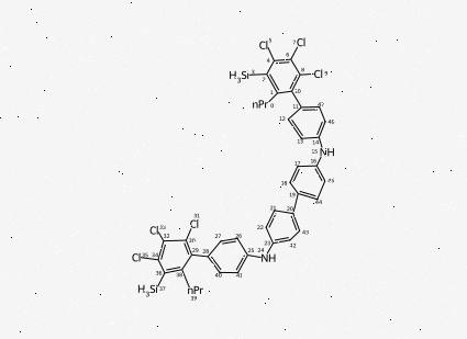 CCCc1c([SiH3])c(Cl)c(Cl)c(Cl)c1-c1ccc(Nc2ccc(-c3ccc(Nc4ccc(-c5c(Cl)c(Cl)c(Cl)c([SiH3])c5CCC)cc4)cc3)cc2)cc1